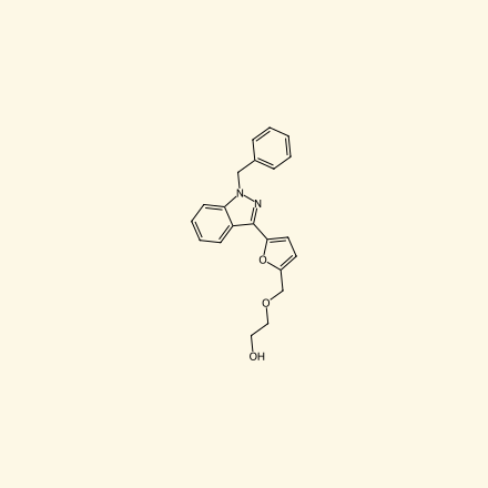 OCCOCc1ccc(-c2nn(Cc3ccccc3)c3ccccc23)o1